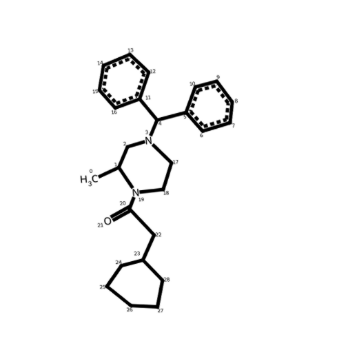 CC1CN(C(c2ccccc2)c2ccccc2)CCN1C(=O)CC1CCCCC1